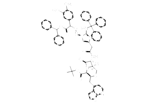 CC(C)(C)OC(=O)C1=C(Cc2ccnc3sccc23)SC[C@H]2[C@@H](NC(=O)CC3=C/S(=N/OC(C(=O)OC(c4ccccc4)c4ccccc4)c4ccc(O)c(O)c4)C(NC(c4ccccc4)(c4ccccc4)c4ccccc4)=N3)C(=O)N12